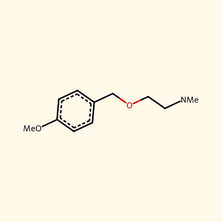 CNCCOCc1ccc(OC)cc1